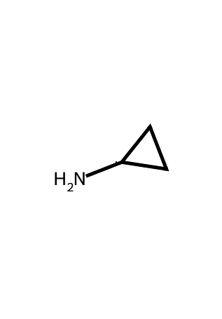 N[C]1CC1